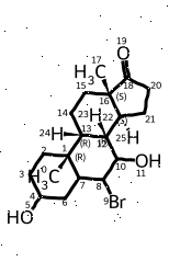 C[C@]12CCC(O)CC1C(Br)C(O)[C@@H]1[C@H]2CC[C@]2(C)C(=O)CC[C@@H]12